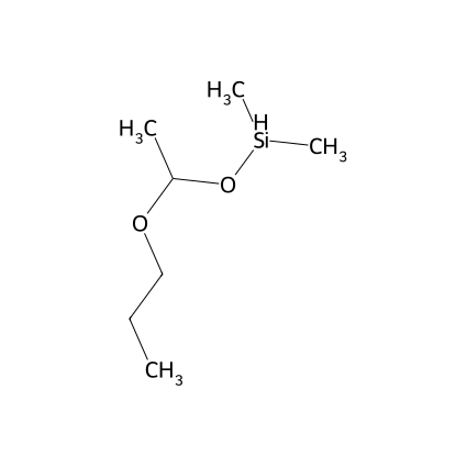 CCCOC(C)O[SiH](C)C